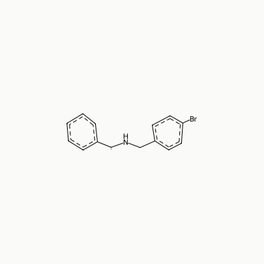 Brc1ccc(CN[CH]c2ccccc2)cc1